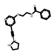 O=C(NCCOc1cncc(C#C[C@H]2CCCN2)c1)c1ccccc1